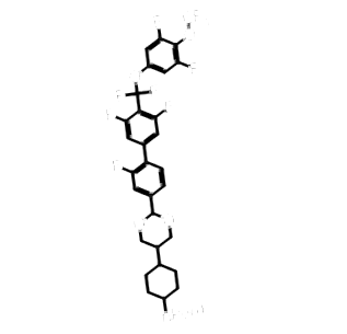 CCCCCC1CCC(C2COC(c3ccc(-c4cc(F)c(C(F)(F)Oc5cc(F)c(OC(F)(F)F)c(F)c5)c(F)c4)c(F)c3)OC2)CC1